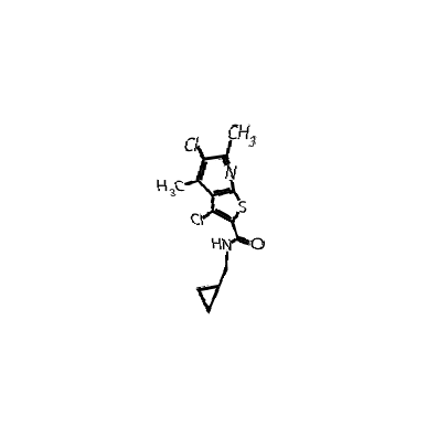 Cc1nc2sc(C(=O)NCC3CC3)c(Cl)c2c(C)c1Cl